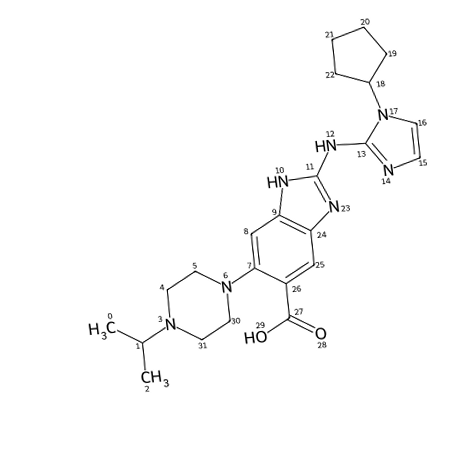 CC(C)N1CCN(c2cc3[nH]c(Nc4nccn4C4CCCC4)nc3cc2C(=O)O)CC1